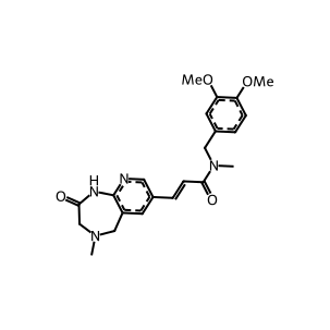 COc1ccc(CN(C)C(=O)/C=C/c2cnc3c(c2)CN(C)CC(=O)N3)cc1OC